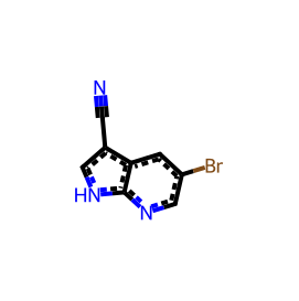 N#Cc1c[nH]c2ncc(Br)cc12